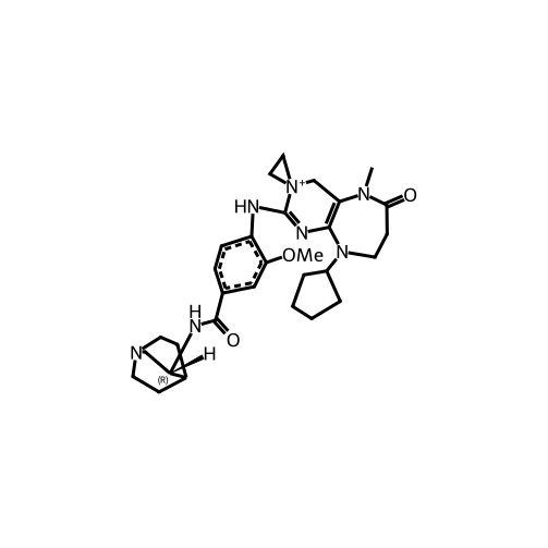 COc1cc(C(=O)N[C@H]2CN3CCC2CC3)ccc1NC1=NC2=C(C[N+]13CC3)N(C)C(=O)CCN2C1CCCC1